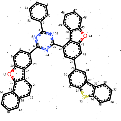 c1ccc(-c2nc(-c3ccc4oc5c6ccccc6ccc5c4c3)nc(-c3cc(-c4ccc5sc6ccccc6c5c4)cc4oc5ccccc5c34)n2)cc1